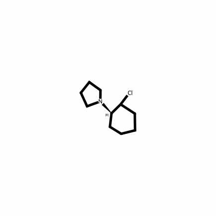 ClC1CCCC[C@H]1N1CCCC1